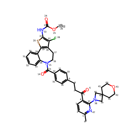 Cc1ccc(C(=O)CCc2ccc(C(=O)N3CCc4c(sc(NC(=O)OC(C)(C)C)c4F)-c4ccccc43)cc2)c(N2CC3(CCOCC3)C2)n1